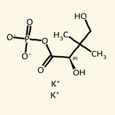 CC(C)(CO)[C@@H](O)C(=O)OP(=O)([O-])[O-].[K+].[K+]